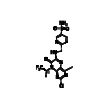 Cc1nc(Cl)nc2c1nc(NCc1ccc(S(N)(=O)=O)cn1)c(=O)n2[C@@H](C)C(F)(F)F